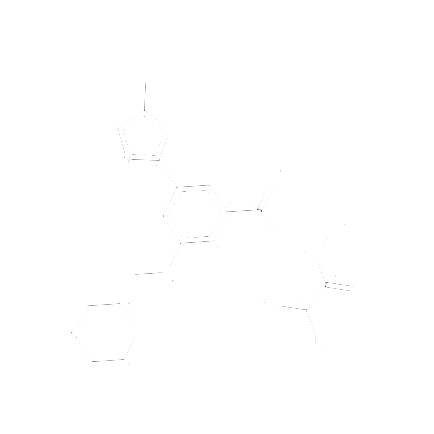 Cc1cnc(-c2cc(OC[C@H]3CNCCO3)cc(C(=O)O)c2)s1.O=C(OF)C(F)F